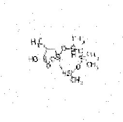 CC(C[Si]1(C)CC[SiH](C)O[Si](C)(C)O[SiH](C)O1)C(=O)O